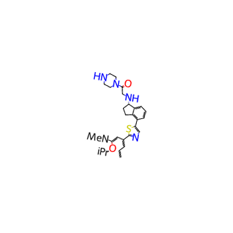 C=C/C=C(\C=C(\NC)OC(C)C)c1ncc(-c2cccc3c2CC[C@@H]3NCC(=O)N2CCNCC2)s1